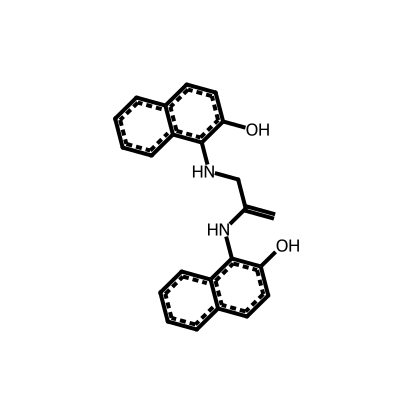 C=C(CNc1c(O)ccc2ccccc12)Nc1c(O)ccc2ccccc12